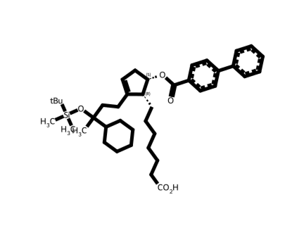 CC(CCC1=CC[C@H](OC(=O)c2ccc(-c3ccccc3)cc2)[C@@H]1CCCCCCC(=O)O)(O[Si](C)(C)C(C)(C)C)C1CCCCC1